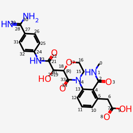 CNC(=O)c1c(CC(=O)O)cccc1N1CCO[C@H]([C@@H](O)C(=O)Nc2ccc(C(=N)N)cc2)C1=O